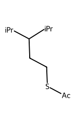 CC(=O)SCCC(C(C)C)C(C)C